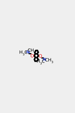 CN(C)CCOc1c2ccccc2c(OCCN(C)C)c2ccccc12